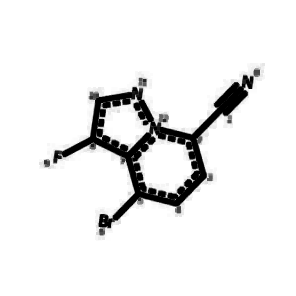 N#Cc1ccc(Br)c2c(F)cnn12